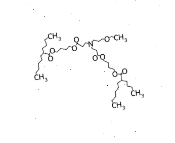 CCCCCCC(CCCC)C(=O)OCCCCOC(=O)CCN(CCCOCC)CCC(=O)OCCCCOC(=O)C(CCCC)CCCCCC